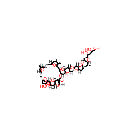 C=C1C[C@@H]2CC[C@@]34C[C@]5(O)O[C@H]6[C@@H](O3)[C@H]3O[C@H](CC[C@@H]3O[C@H]6C5O4)CC(=O)O[C@@H]3[C@@H](C)[C@@H]4O[C@@H]5C[C@@]6(C[C@@H]7O[C@]8(C[C@H](C)[C@@H]9O[C@H]([C@@H](O)C[C@@H](O)CO)C[C@@H]9O8)C[C@H](C)[C@@H]7O6)O[C@@H]5C[C@@H]4O[C@H]3C[C@H]3O[C@@H](CC[C@@H]1O2)C[C@@H](C)C3=C